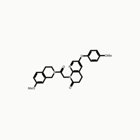 COc1ccc(Oc2cnc3c(c2)CCC(=O)N3CC(=O)N2CCc3ccc(OC)cc3C2)cc1